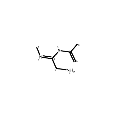 C=C(C)S/C(CN)=N\C